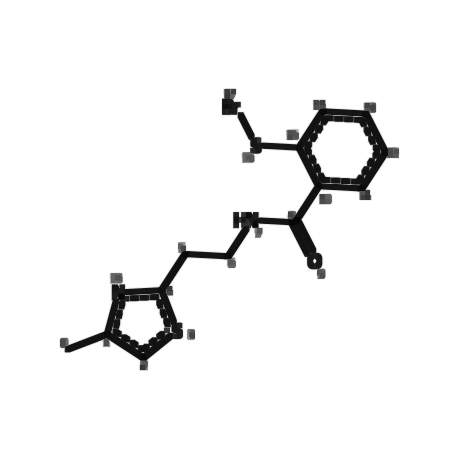 Cc1csc(CCNC(=O)c2ccccc2SBr)n1